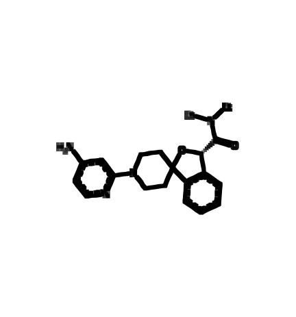 CCN(CC)C(=O)[C@H]1OC2(CCN(c3cc(N)ccn3)CC2)c2ccccc21